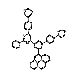 c1ccc(-c2ccc(-c3cc(-c4cc(-c5ccc(-c6cccnc6)cc5)nc(-c5ccccc5)n4)cc(-c4cc5cccc6ccc7cccc4c7c65)c3)cc2)cc1